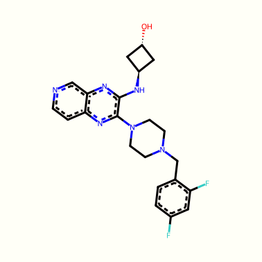 O[C@H]1C[C@H](Nc2nc3cnccc3nc2N2CCN(Cc3ccc(F)cc3F)CC2)C1